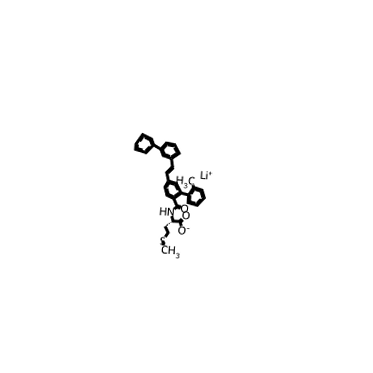 CSCC[C@H](NC(=O)c1ccc(C=Cc2cccc(-c3ccccc3)c2)cc1-c1ccccc1C)C(=O)[O-].[Li+]